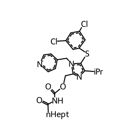 CCCCCCCC(=O)NC(=O)OCc1nc(C(C)C)c(Sc2cc(Cl)cc(Cl)c2)n1Cc1ccncc1